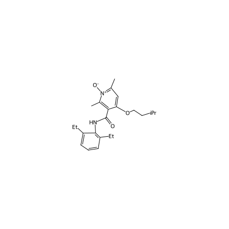 CCc1cccc(CC)c1NC(=O)c1c(OCCC(C)C)cc(C)[n+]([O-])c1C